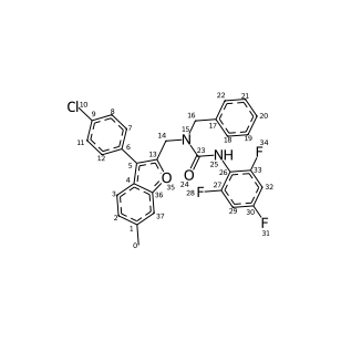 Cc1ccc2c(-c3ccc(Cl)cc3)c(CN(Cc3ccccc3)C(=O)Nc3c(F)cc(F)cc3F)oc2c1